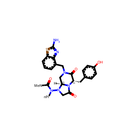 CCCN(C(=O)NC)N1CC(=O)N2[C@@H](Cc3ccc(O)cc3)C(=O)N(Cc3cccc4sc(N)nc34)C[C@@H]21